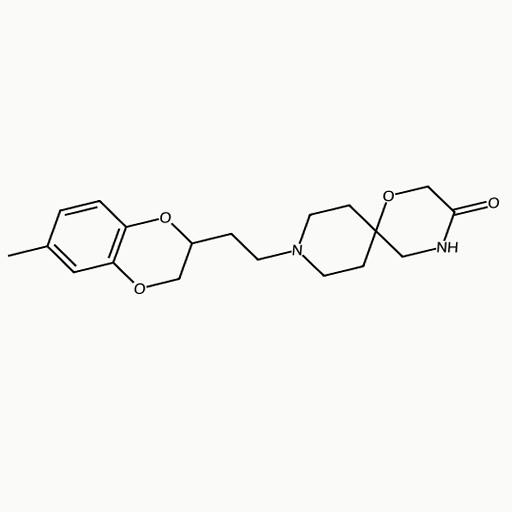 Cc1ccc2c(c1)OCC(CCN1CCC3(CC1)CNC(=O)CO3)O2